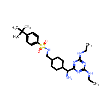 CCNc1nc(NCC)nc(C(N)C2CCC(CNS(=O)(=O)c3ccc(C(C)(C)C)cc3)CC2)n1